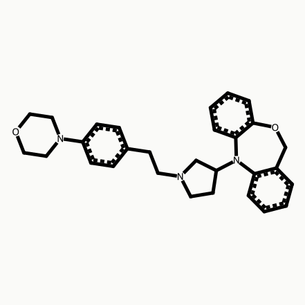 c1ccc2c(c1)COc1ccccc1N2C1CCN(CCc2ccc(N3CCOCC3)cc2)C1